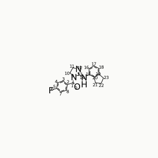 O=C(c1ccc(F)cc1)N1CCN=C1Nc1cccc2c1CCC2